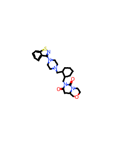 O=C1CC2COCCN2C(=O)N1CC1CCCCC1CN1CCN(c2nsc3ccccc23)CC1